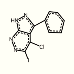 Clc1c(I)nnc2[nH]nc(-c3ccccc3)c12